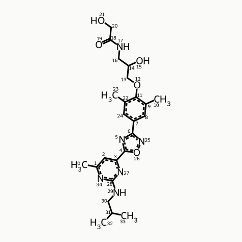 Cc1cc(-c2nc(-c3cc(C)c(OCC(O)CNC(=O)CO)c(C)c3)no2)nc(NCC(C)C)n1